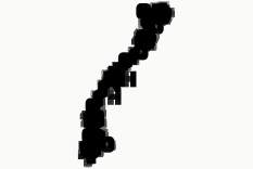 Cc1ccc2oc(-c3ccc(OCCCCC4=CN(CCOCCOc5ccc(-c6cc(=O)c7ccccc7o6)cc5)NN4)cc3)cc(=O)c2c1